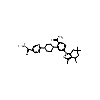 Cc1nn(-c2ccc(C(N)=O)c(N3CCN(c4ncc(C(=O)NO)cn4)CC3)c2)c2c1C(=O)CC(C)(C)C2